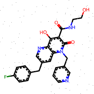 O=C(NCCO)c1c(O)c2ncc(Cc3ccc(F)cc3)cc2n(Cc2cccnc2)c1=O